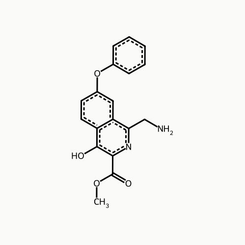 COC(=O)c1nc(CN)c2cc(Oc3ccccc3)ccc2c1O